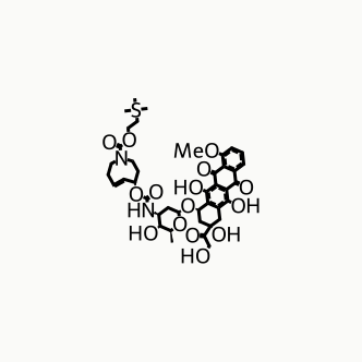 COc1cccc2c1C(=O)c1c(O)c3c(c(O)c1C2=O)C[C@@](O)(C(=O)CO)C[C@@H]3O[C@@H]1C[C@H](NC(=O)O[C@@H]2/C=C/CCN(C(=O)OCCS(C)(C)C)CC2)[C@H](O)[C@H](C)O1